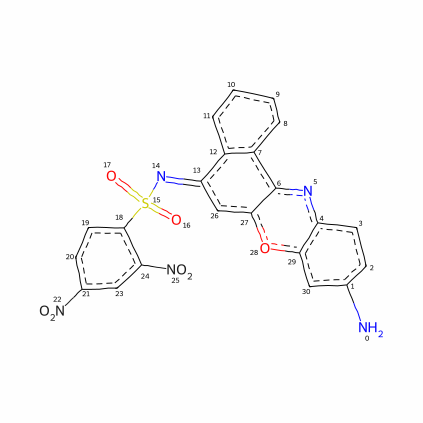 Nc1ccc2nc3c4ccccc4c(=NS(=O)(=O)c4ccc([N+](=O)[O-])cc4[N+](=O)[O-])cc-3oc2c1